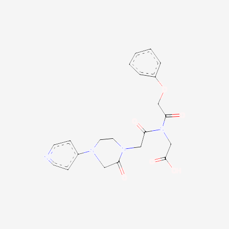 O=C(O)CN(C(=O)COc1ccccc1)C(=O)CN1CCN(c2ccncc2)CC1=O